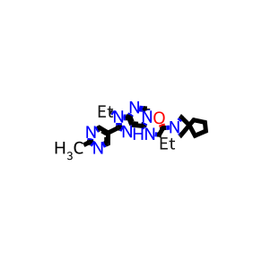 CC[C@H](Nc1ncnc2c1nc(-c1cnc(C)nc1)n2CC)C(=O)N1CC2(CCCC2)C1